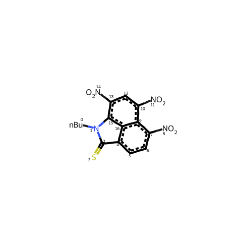 CCCCN1C(=S)c2ccc([N+](=O)[O-])c3c([N+](=O)[O-])cc([N+](=O)[O-])c1c23